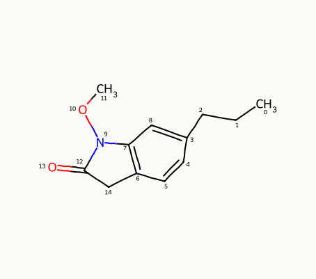 CCCc1ccc2c(c1)N(OC)C(=O)C2